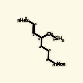 CCCCCCC=CC(CCCCCCCCCCCC)O[SiH3]